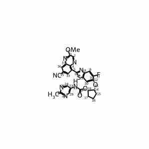 COc1cnc2c(-c3nc4cc(F)c(O[C@@H]5CCC[C@@H]5OC(=O)Nc5cnc(C)nc5)cc4s3)cc(C#N)cc2n1